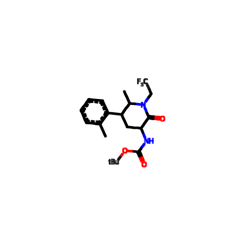 Cc1ccccc1C1CC(NC(=O)OC(C)(C)C)C(=O)N(CC(F)(F)F)C1C